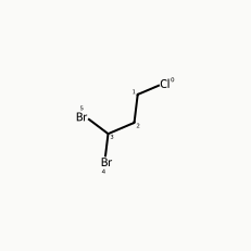 ClCCC(Br)Br